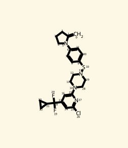 C=C1CCCN1c1ccc(SN2CCN(c3cc(C(F)(F)C4CC4)cc(Cl)n3)CC2)cc1